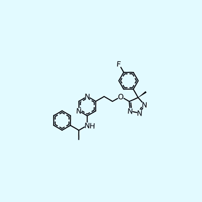 CC(Nc1cc(CCOC2=NN=N[C@@]2(C)c2ccc(F)cc2)ncn1)c1ccccc1